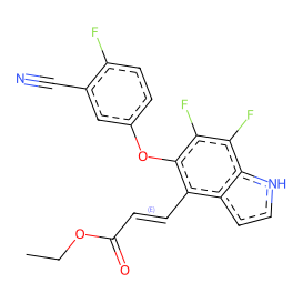 CCOC(=O)/C=C/c1c(Oc2ccc(F)c(C#N)c2)c(F)c(F)c2[nH]ccc12